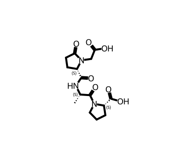 C[C@H](NC(=O)[C@@H]1CCC(=O)N1CC(=O)O)C(=O)N1CCC[C@H]1C(=O)O